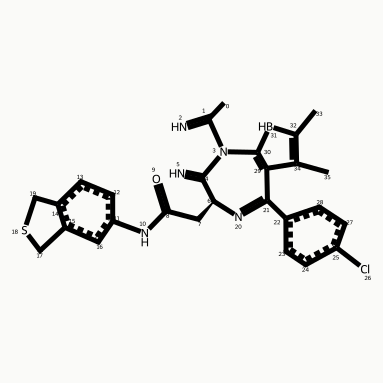 CC(=N)N1C(=N)[C@H](CC(=O)Nc2ccc3c(c2)CSC3)N=C(c2ccc(Cl)cc2)C2=C1BC(C)=C2C